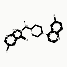 C[C@H]([C@H]1CC[C@@H](c2ccnc3ccc(F)cc32)CC1)n1[nH]c2ncc(Cl)cc2c1=O